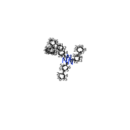 c1ccc(-c2ccc(-c3nc(-c4cccc(-c5ccccc5)c4)nc(-c4ccc5c6c(ccc5c4)-c4ccccc4C64C5CC6CC(C5)CC4C6)n3)cc2)cc1